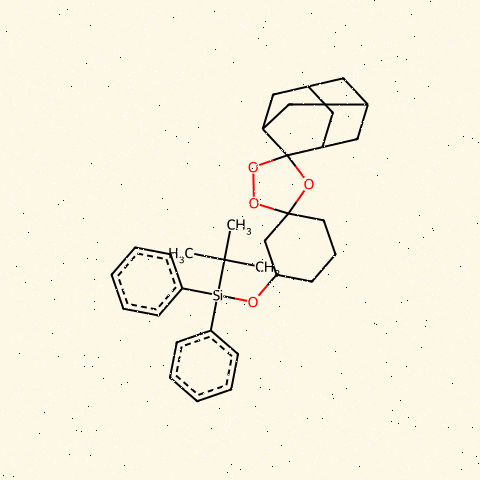 CC(C)(C)[Si](OC1CCCC2(C1)OOC1(O2)C2CC3CC(C2)CC1C3)(c1ccccc1)c1ccccc1